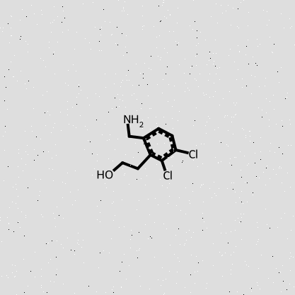 NCc1ccc(Cl)c(Cl)c1CCO